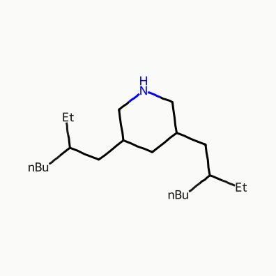 CCCCC(CC)CC1CNCC(CC(CC)CCCC)C1